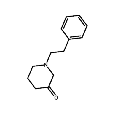 O=C1CCCN(CCc2ccccc2)C1